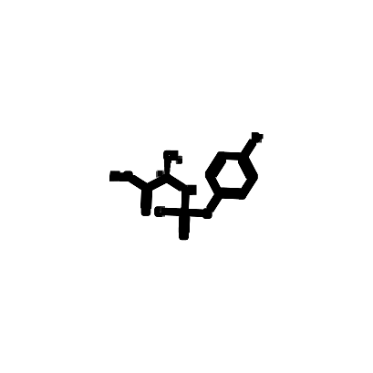 COC(=O)[C@H](C)NP(=O)(Cl)Oc1ccc(Br)cc1